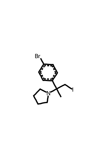 CC(CI)(c1ccc(Br)cc1)N1CCCC1